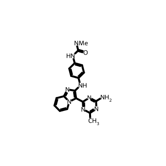 CNC(=O)Nc1ccc(Nc2nc3ccccn3c2-c2nc(C)nc(N)n2)cc1